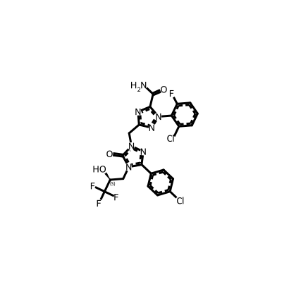 NC(=O)c1nc(Cn2nc(-c3ccc(Cl)cc3)n(C[C@H](O)C(F)(F)F)c2=O)nn1-c1c(F)cccc1Cl